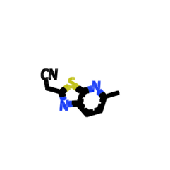 Cc1ccc2nc(CC#N)sc2n1